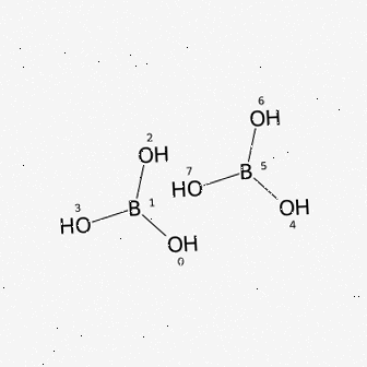 OB(O)O.OB(O)O